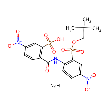 CC(C)(C)COS(=O)(=O)c1cc([N+](=O)[O-])ccc1NC(=O)c1ccc([N+](=O)[O-])cc1S(=O)(=O)O.[NaH]